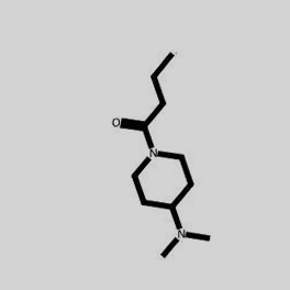 [CH2]CCC(=O)N1CCC(N(C)C)CC1